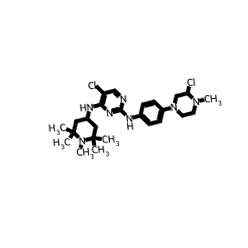 CN1CCN(c2ccc(Nc3ncc(Cl)c(NC4CC(C)(C)N(C)C(C)(C)C4)n3)cc2)CC1Cl